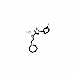 Cl.Fc1cccc(-n2cc(NCCN3CCCCCC3)nn2)c1